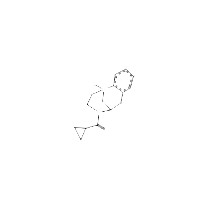 N[N+]12CCN(C(=O)C3CC3)C(Cc3ccccc31)C2